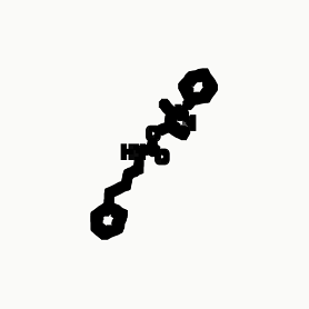 Cc1c(OC(=O)NCCCCc2ccccc2)cnn1-c1ccccc1